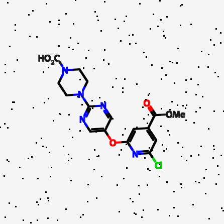 COC(=O)c1cc(Cl)nc(Oc2cnc(N3CCN(C(=O)O)CC3)nc2)c1